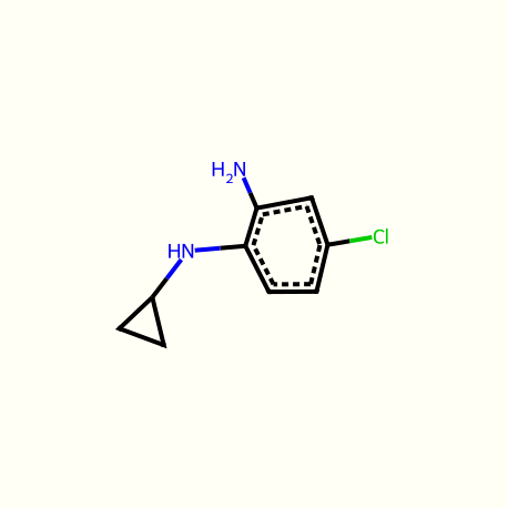 Nc1cc(Cl)ccc1NC1CC1